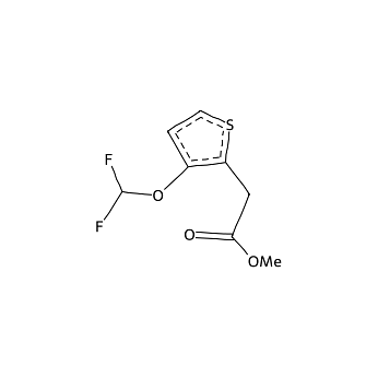 COC(=O)Cc1sccc1OC(F)F